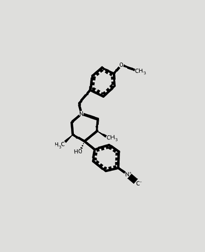 [C-]#[N+]c1ccc([C@]2(O)[C@H](C)CN(Cc3ccc(OC)cc3)C[C@@H]2C)cc1